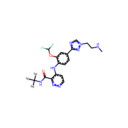 [2H]C([2H])([2H])NC(=O)c1nnccc1Nc1ccc(-c2ncn(CCNC)n2)cc1OC(F)F